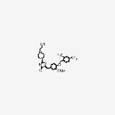 COc1cc(/C=C2\SC(N3CCN(CCC#N)CC3)=NC2=O)ccc1OCc1ccc(C(F)(F)F)cc1C(F)(F)F